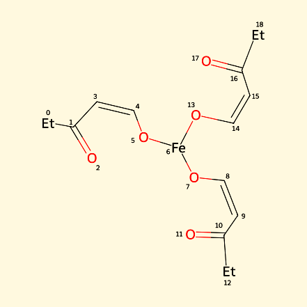 CCC(=O)/C=C\[O][Fe]([O]/C=C\C(=O)CC)[O]/C=C\C(=O)CC